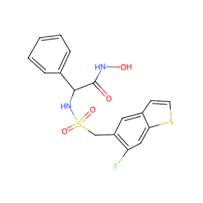 O=C(NO)C(NS(=O)(=O)Cc1cc2ccsc2cc1F)c1ccccc1